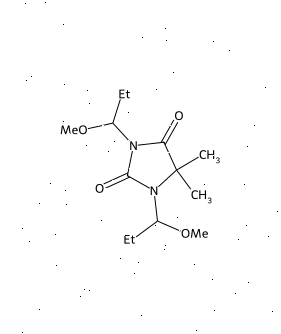 CCC(OC)N1C(=O)N(C(CC)OC)C(C)(C)C1=O